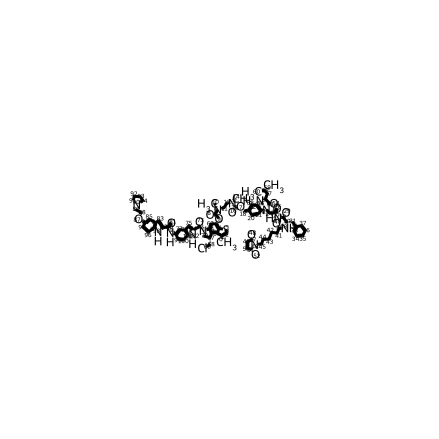 Cc1csc2c(OC(=O)N(C)CCN(C)C(=O)OCc3ccc(N(CC(=O)NC(=O)[C@H](Cc4ccccc4)NC(=O)CCCCCN4C(=O)C=CC4=O)C(=O)[C@@H](N)CC(C)C)cc3)cc3c(c12)[C@H](CCl)CN3C(=O)c1cc2cc(NC(=O)c3cc4cc(OCCN5CCCC5)ccc4[nH]3)ccc2[nH]1